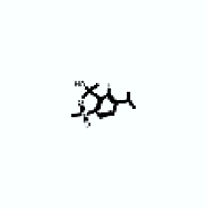 CC(C)c1ccc(S(C)(=O)=O)c(C(C)(C)O)c1F